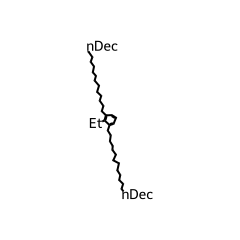 [CH2]Cc1c(CCCCCCCCCCCCCCCCCCCCCCC)cccc1CCCCCCCCCCCCCCCCCCCCCCC